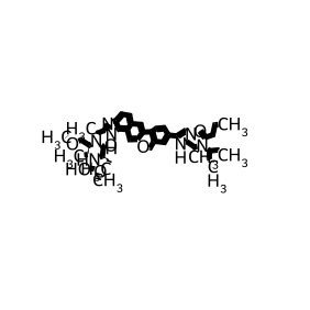 CCCC(=O)N(C(CC)CC)[C@@H](C)c1ncc(-c2ccc3c(c2)COc2cc4c(ccc5nc([C@H](C)N(C(=O)[C@H](CC)NC(O)OC)[C@H](CC)COC)[nH]c54)cc2-3)[nH]1